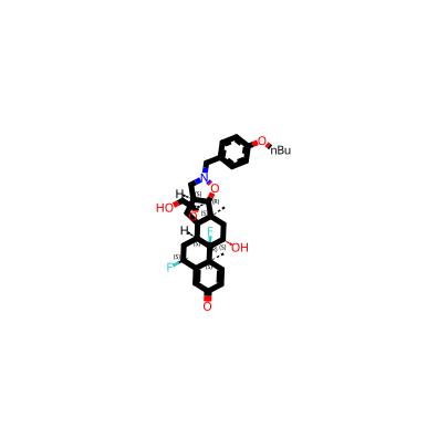 CCCCOc1ccc(CN2C[C@@H]3CC4[C@@H]5C[C@H](F)C6=CC(=O)C=C[C@]6(C)[C@@]5(F)[C@@H](O)C[C@]4(C)[C@]3(C(=O)CO)O2)cc1